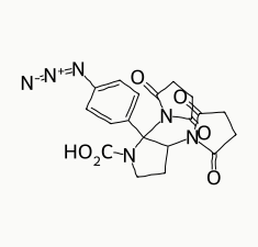 [N-]=[N+]=Nc1ccc(C2(N3C(=O)CCC3=O)C(N3C(=O)CCC3=O)CCN2C(=O)O)cc1